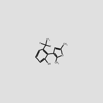 Cc1cc(-c2c(C(F)(F)C(F)(F)F)[c]ccc2S)c(C)o1